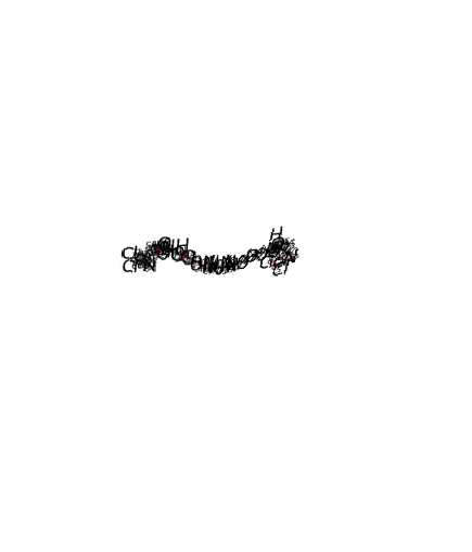 CN1Cc2c(Cl)cc(Cl)cc2C(c2cccc(S(=O)(=O)NCCOCCOCCOCCn3cc(COCc4cn(CCOCCOCCOCCNS(=O)(=O)c5cccc(C6CN(C)Cc7c(Cl)cc(Cl)cc76)c5)nn4)nn3)c2)C1